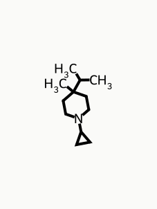 CC(C)C1(C)CCN(C2CC2)CC1